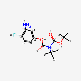 CC(C)(C)OC(=O)N(C(=O)Oc1ccc(F)c(N)c1)C(C)(C)C